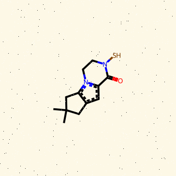 CC1(C)Cc2cc3n(c2C1)CCN(S)C3=O